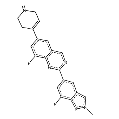 Cn1cc2cc(-c3ncc4cc(C5=CCNCC5)cc(F)c4n3)cc(F)c2n1